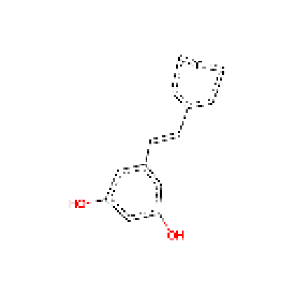 Oc1cc(O)cc(C=Cc2ccccc2)c1